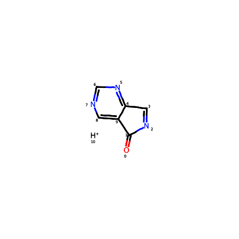 O=C1N=Cc2ncncc21.[H+]